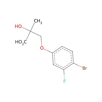 CC(O)(COc1ccc(Br)c(F)c1)C(=O)O